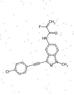 C=C(F)C(=O)Nc1ccc2c(c1)c(C#Cc1ccc(Cl)cc1)nn2C